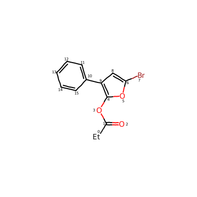 CCC(=O)Oc1oc(Br)cc1-c1ccccc1